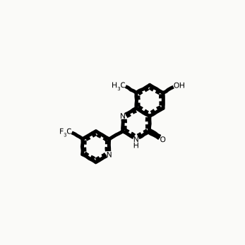 Cc1cc(O)cc2c(=O)[nH]c(-c3cc(C(F)(F)F)ccn3)nc12